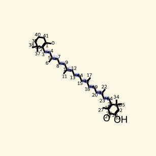 CC1=C(/C=C/C(C)=C/C=C/C(C)=C/C=C/C=C(C)/C=C/C=C(C)/C=C/C2=C(C)C(=O)C(O)=CC2(C)C)C(C)(C)CCC1